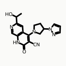 CC(O)c1cc2c(N3CCC(n4cccn4)C3)c(C#N)c(=O)[nH]c2cn1